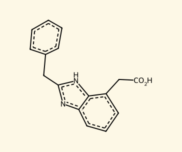 O=C(O)Cc1cccc2nc(Cc3ccccc3)[nH]c12